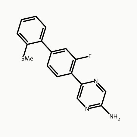 CSc1ccccc1-c1ccc(-c2cnc(N)cn2)c(F)c1